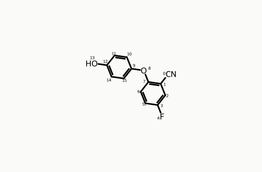 N#Cc1cc(F)[c]cc1Oc1ccc(O)cc1